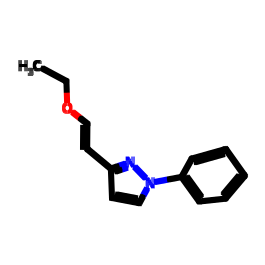 CCOC=Cc1ccn(-c2ccccc2)n1